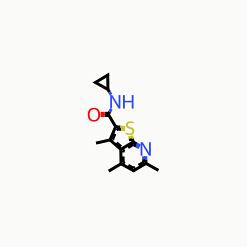 Cc1cc(C)c2c(C)c(C(=O)NC3CC3)sc2n1